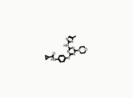 Cc1cnc(Nc2nc(Sc3ccc(NC(=O)C4CC4)cc3)nc(N3CCOCC3)n2)s1